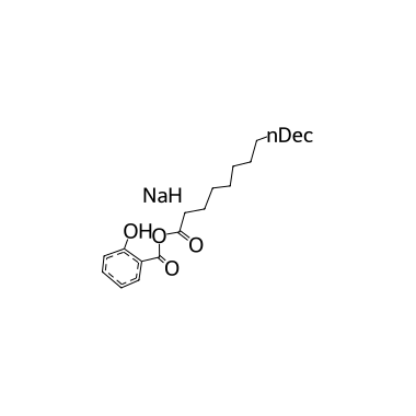 CCCCCCCCCCCCCCCCCC(=O)OC(=O)c1ccccc1O.[NaH]